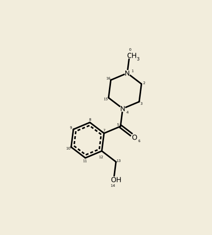 CN1CCN(C(=O)c2ccccc2CO)CC1